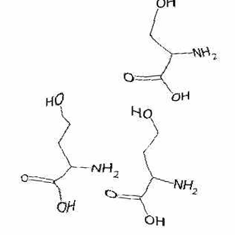 NC(CCO)C(=O)O.NC(CCO)C(=O)O.NC(CO)C(=O)O